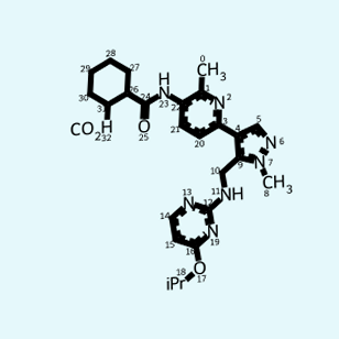 Cc1nc(-c2cnn(C)c2CNc2nccc(OC(C)C)n2)ccc1NC(=O)C1CCCCC1C(=O)O